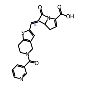 O=C(O)C1=CCC2/C(=C\c3cc4c(s3)CCN(C(=O)c3cccnc3)C4)C(=O)N12